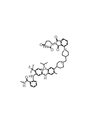 CNC(=O)c1ccccc1Nc1cc(Nc2cc(C)c(C3CCN(CC4CCN(c5cccc6c5C(=O)N(N5CCC(=O)NC5=O)C6=O)CC4)CC3)cc2OC(C)C)ncc1C(F)(F)F